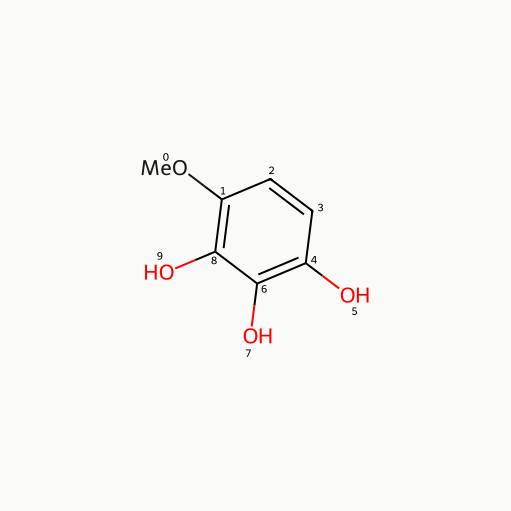 COc1ccc(O)c(O)c1O